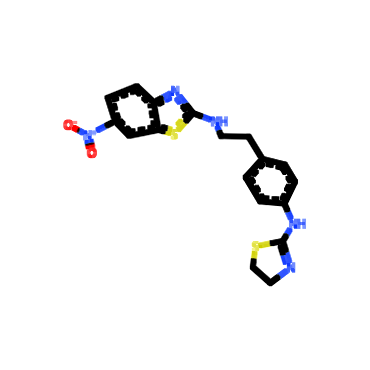 O=[N+]([O-])c1ccc2nc(NCCc3ccc(NC4=NCCS4)cc3)sc2c1